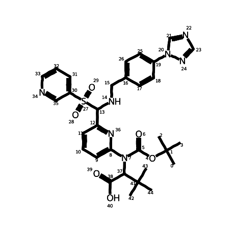 CC(C)(C)OC(=O)N(c1cccc(C(NCc2ccc(-n3cncn3)cc2)S(=O)(=O)c2cccnc2)n1)C(C(=O)O)C(C)(C)C